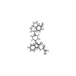 CNC(=O)Cn1c(=O)n(C2CCN(C3CCC4CCc5c(F)ccc3c54)CC2)c2ccccc21